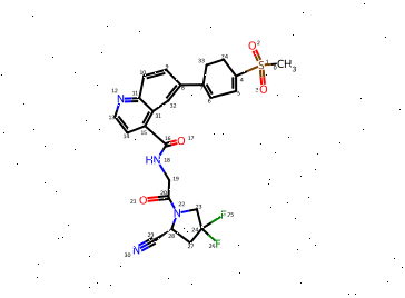 CS(=O)(=O)C1=CC=C(c2ccc3nccc(C(=O)NCC(=O)N4CC(F)(F)C[C@H]4C#N)c3c2)CC1